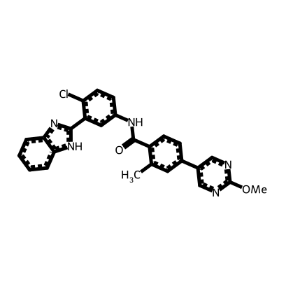 COc1ncc(-c2ccc(C(=O)Nc3ccc(Cl)c(-c4nc5ccccc5[nH]4)c3)c(C)c2)cn1